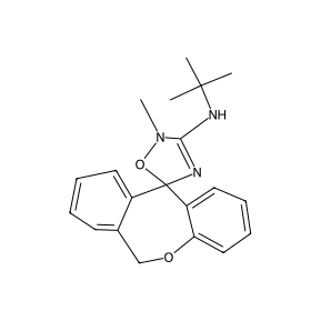 CN1OC2(N=C1NC(C)(C)C)c1ccccc1COc1ccccc12